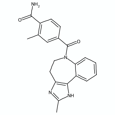 Cc1nc2c([nH]1)-c1ccccc1N(C(=O)c1ccc(C(N)=O)c(C)c1)CC2